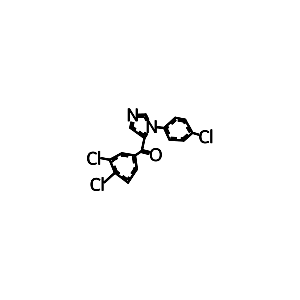 O=C(c1ccc(Cl)c(Cl)c1)c1cncn1-c1ccc(Cl)cc1